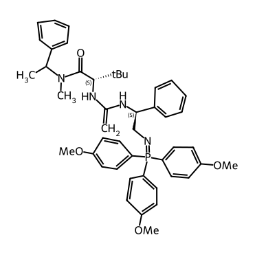 C=C(N[C@H](C(=O)N(C)C(C)c1ccccc1)C(C)(C)C)N[C@H](CN=P(c1ccc(OC)cc1)(c1ccc(OC)cc1)c1ccc(OC)cc1)c1ccccc1